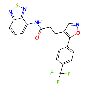 O=C(CCc1cnoc1-c1ccc(C(F)(F)F)cc1)Nc1cccc2nsnc12